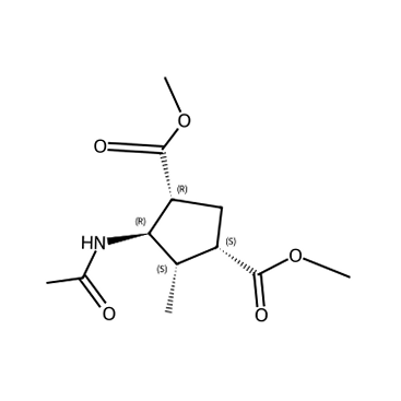 COC(=O)[C@H]1C[C@@H](C(=O)OC)[C@H](NC(C)=O)[C@H]1C